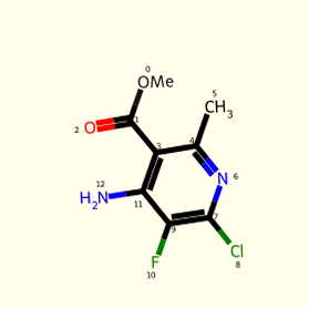 COC(=O)c1c(C)nc(Cl)c(F)c1N